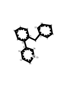 c1ccc(Cc2ccccc2-c2cccnc2)cc1